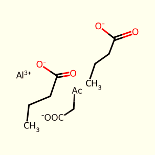 CC(=O)CC(=O)[O-].CCCC(=O)[O-].CCCC(=O)[O-].[Al+3]